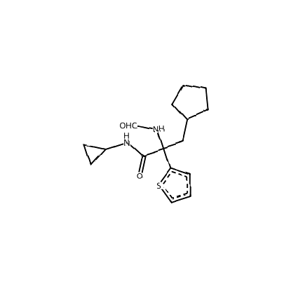 O=CNC(CC1CCCC1)(C(=O)NC1CC1)c1cccs1